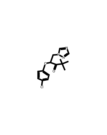 CC(C)(C)C(=O)C(Cn1cncn1)Oc1ccc(Cl)cc1